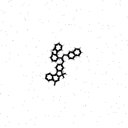 Cc1cc2c(c3ccccc13)-c1ccc(/C=C(/Cc3ccc4ccccc4c3)c3cccc4oc5ccccc5c34)cc1C2(C)C